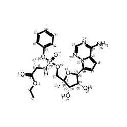 CCOC(=O)[C@H](C)N[P@](=O)(OC[C@@]1(C)O[C@@H](c2ccc3c(N)ncnn23)[C@H](O)[C@@H]1O)Oc1ccccc1